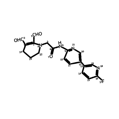 O=CC1=C(C=O)N(CC(=O)Nc2ccc(-c3ccc(F)nc3)cn2)CCC1